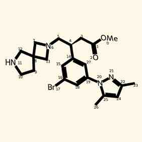 COC(=O)C[C@H](CN1CC2(CCNC2)C1)c1cc(Br)cc(-n2nc(C)cc2C)c1